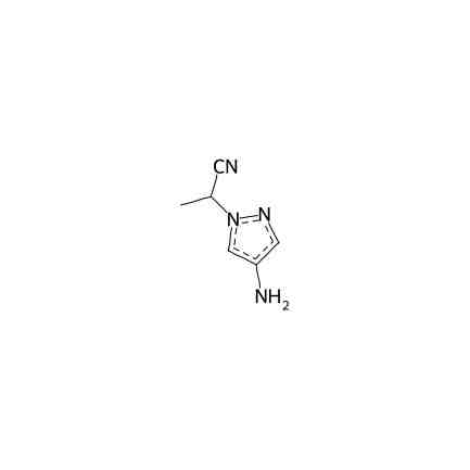 CC(C#N)n1cc(N)cn1